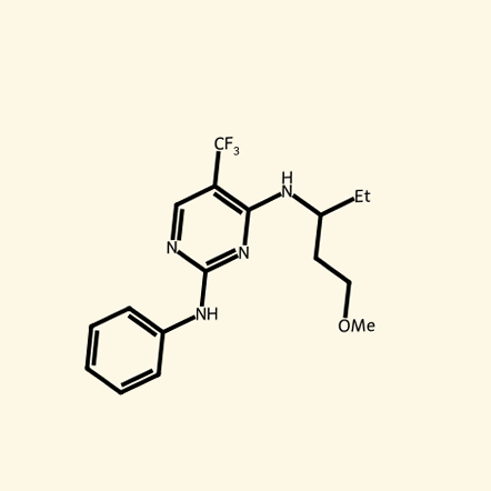 CCC(CCOC)Nc1nc(Nc2ccccc2)ncc1C(F)(F)F